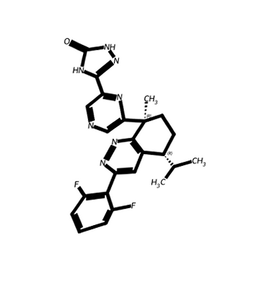 CC(C)[C@H]1CC[C@](C)(c2cncc(-c3n[nH]c(=O)[nH]3)n2)c2nnc(-c3c(F)cccc3F)cc21